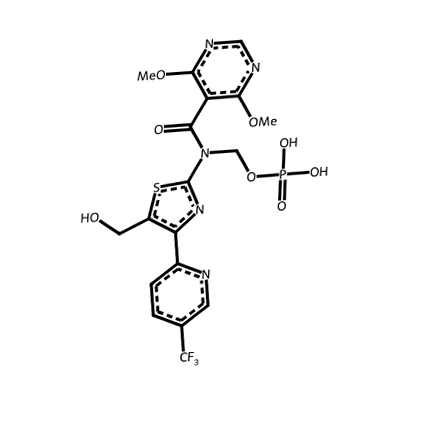 COc1ncnc(OC)c1C(=O)N(COP(=O)(O)O)c1nc(-c2ccc(C(F)(F)F)cn2)c(CO)s1